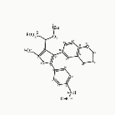 CCOC(=O)C(OC(C)(C)C)c1c(C)sc(-c2ccc(NC=O)cc2)c1-c1ccc2c(c1)CCCO2